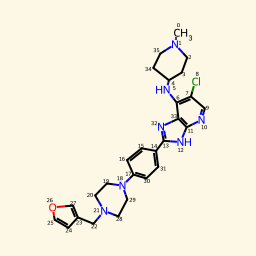 CN1CCC(Nc2c(Cl)cnc3[nH]c(-c4ccc(N5CCN(Cc6ccoc6)CC5)cc4)nc23)CC1